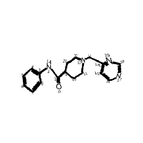 O=C(Nc1ccccc1)C1CCN(Cc2ccncn2)CC1